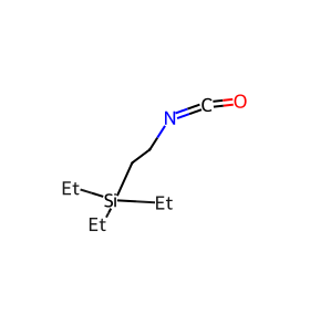 CC[Si](CC)(CC)CCN=C=O